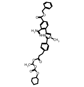 CC(OC(=O)CCc1ccc(-c2nc(-c3ccc(C(=O)OCc4ccccc4)cc3C(=N)N)cn2C)cc1)OC(=O)OC1CCCCC1